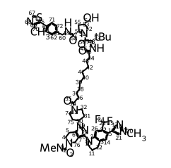 CNC(=O)N1CCc2c(c(N3CCCc4cc(-c5cnn(C)c5)c(C(F)F)cc43)nn2C2CCN(C(=O)CCCCCCCCCC(=O)N[C@H](C(=O)N3C[C@H](O)C[C@H]3C(=O)NCc3ccc(-c4scnc4C)cc3)C(C)(C)C)CC2)C1